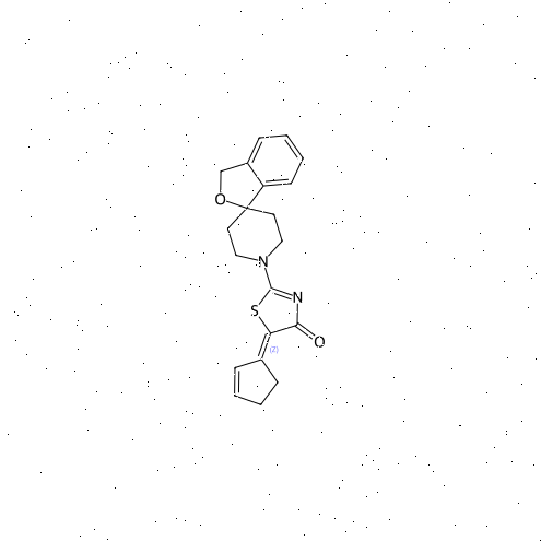 O=C1N=C(N2CCC3(CC2)OCc2ccccc23)S/C1=C1\C=CCC1